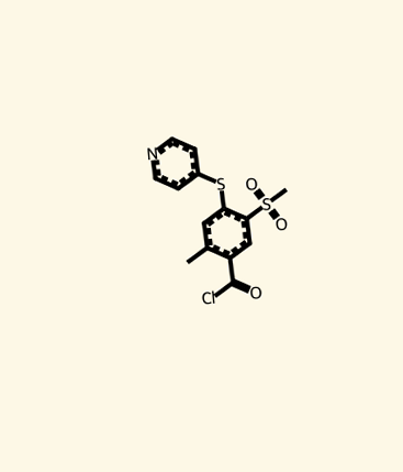 Cc1cc(Sc2ccncc2)c(S(C)(=O)=O)cc1C(=O)Cl